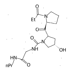 CCCNC(=O)CNC(=O)N1C[C@@H](O)CC1C(=O)[C@@H]1CCCN1C(=O)CC